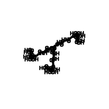 O=C(CCCCOC1OC(COP(=O)(O)O)C(O)C(O)C1O)NCCCNC(=O)CCOCCC(COCCC(=O)NCCCNC(=O)CCCCOC1OC(COP(=O)(O)O)C(O)C(O)C1O)OCCC(=O)NCCCNC(=O)CCCCOC1OC(COP(=O)(O)O)C(O)C(O)C1O